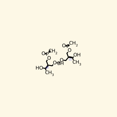 C=P(=O)OC/C(COBOC/C(COP(=C)=O)=C(\C)O)=C(/C)O